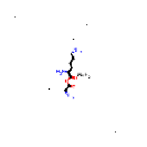 NCCCCC(N)C(=O)OC(=O)CN.[MgH2]